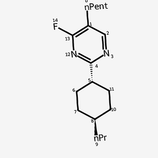 CCCCCc1cnc([C@H]2CC[C@H](CCC)CC2)nc1F